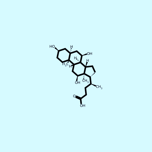 C[C@@H](CCC(=O)O)[C@H]1CC[C@H]2[C@@H]3[C@H](O)C[C@@H]4C[C@H](O)CC[C@]4(C)[C@H]3C[C@H](O)[C@]12C